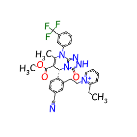 CCc1cccc[n+]1CCc1cc(C#N)ccc1[C@@H]1C(C(=O)OC)=C(C)N(c2cccc(C(F)(F)F)c2)c2n[nH]c(=O)n21